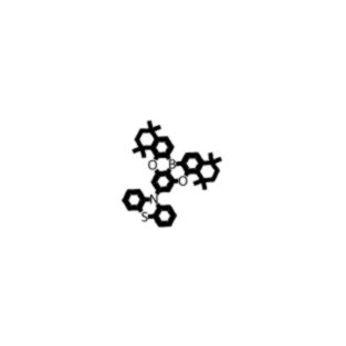 CC1(C)CCC(C)(C)c2c1ccc1c2Oc2cc(N3c4ccccc4Sc4ccccc43)cc3c2B1c1ccc2c(c1O3)C(C)(C)CCC2(C)C